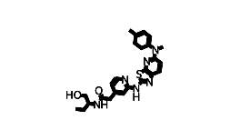 CCC(CO)NC(=O)Cc1c#cnc(Nc2nc3ccc(N(C)C4=CC=C(C)CC4)nc3s2)c1